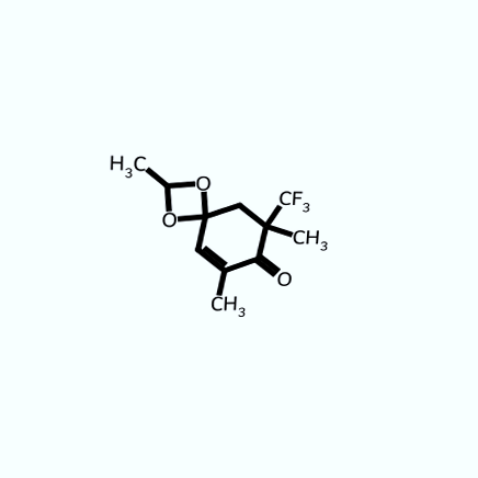 CC1=CC2(CC(C)(C(F)(F)F)C1=O)OC(C)O2